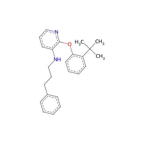 CC(C)(C)c1ccccc1Oc1ncccc1NCCCc1ccccc1